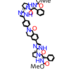 COC(=O)N[C@@H](C(=O)N1CCC[C@H]1c1nc(-c2ccc3c(c2)CCN(c2ccc(-c4cnc([C@@H]5CCCN5C(=O)[C@H](NC(=O)OC)c5ccccc5)[nH]4)cc2)C3=O)c[nH]1)c1ccccc1